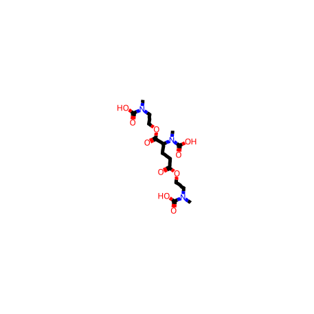 CN(CCOC(=O)CCC(C(=O)OCCN(C)C(=O)O)N(C)C(=O)O)C(=O)O